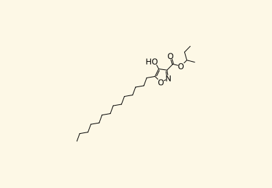 CCCCCCCCCCCCCCc1onc(C(=O)OC(C)CC)c1O